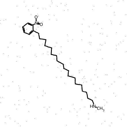 CNCCCCCCCCCCCCCCCCCCCc1ccccc1[N+](=O)[O-]